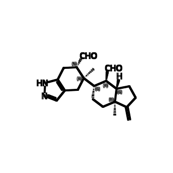 C=C1CC[C@H]2[C@H](C=O)[C@@H]([C@@]3(C)Cc4cn[nH]c4C[C@@H]3C=O)CC[C@]12C